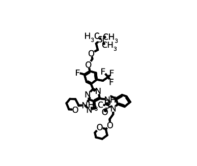 C[Si](C)(C)CCOCOc1cc(CC(F)(F)F)c(-c2nc(NCc3ccccc3N(CCOC3CCCCO3)S(C)(=O)=O)c3cnn(C4CCCCO4)c3n2)cc1F